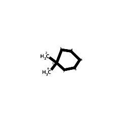 CC1(C)CC[C]CC1